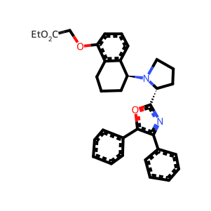 CCOC(=O)COc1cccc2c1CCC[C@@H]2N1CCC[C@@H]1c1nc(-c2ccccc2)c(-c2ccccc2)o1